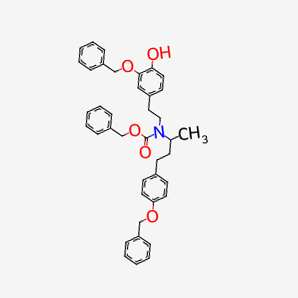 CC(CCc1ccc(OCc2ccccc2)cc1)N(CCc1ccc(O)c(OCc2ccccc2)c1)C(=O)OCc1ccccc1